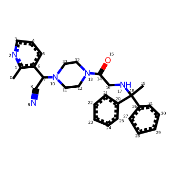 Cc1ncccc1C(C#N)N1CCN(C(=O)CNC(C)(c2ccccc2)c2ccccc2)CC1